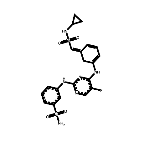 NS(=O)(=O)c1cccc(Nc2ncc(F)c(NC3=CC=CC(=CS(=O)(=O)NC4CC4)C3)n2)c1